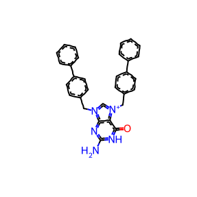 Nc1nc2c(c(=O)[nH]1)[n+](Cc1ccc(-c3ccccc3)cc1)cn2Cc1ccc(-c2ccccc2)cc1